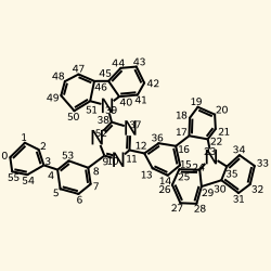 c1ccc(-c2cccc(-c3nc(-c4cccc(-c5ccccc5-n5c6ccccc6c6ccccc65)c4)nc(-n4c5ccccc5c5ccccc54)n3)c2)cc1